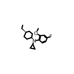 CC[C@H]1CC[C@@H](N(c2ccc(F)cc2OC)C2CC2)CC1